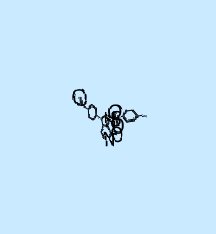 Cc1ccc(S(=O)(=O)n2cc(-c3ccc(C=O)cc3)c3ccn(C)c(=O)c32)cc1